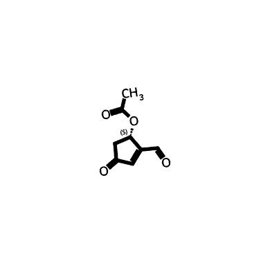 CC(=O)O[C@H]1CC(=O)C=C1C=O